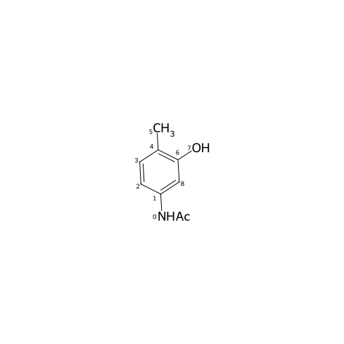 CC(=O)Nc1ccc(C)c(O)c1